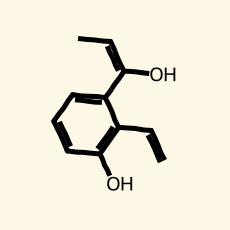 C=Cc1c(O)cccc1/C(O)=C\C